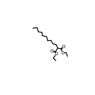 CCCCCCCCCCC(C(=O)OCC)C(=O)OCC